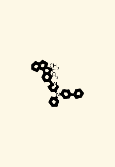 CC1(C)c2cc(-c3ccc(N(c4ccccc4)c4ccc(-c5ccccc5)cc4)cn3)ccc2-c2c1ccc1ccccc21